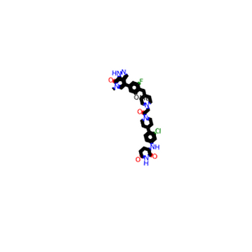 COc1cc(-c2cn(C)c(=O)c3[nH]ncc23)cc(F)c1CC1CCN(CC(=O)N2CCC(c3ccc(NC4CCC(=O)NC4=O)cc3Cl)CC2)CC1